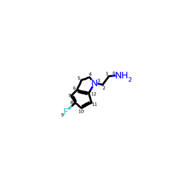 NCCN1CCc2cc(F)ccc21